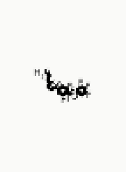 CCCc1ccc(-c2cc(F)c(C(F)(F)Oc3cc(F)c(F)c(F)c3)c(F)c2)[se]1